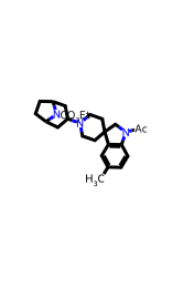 CCOC(=O)N1C2CCC1CC(N1CCC3(CC1)CN(C(C)=O)c1ccc(C)cc13)C2